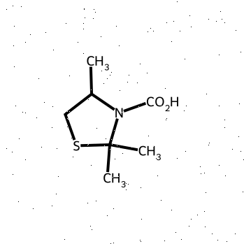 CC1CSC(C)(C)N1C(=O)O